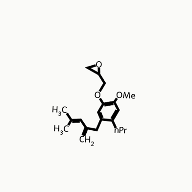 C=C(C=C(C)C)Cc1cc(OCC2CO2)c(OC)cc1CCC